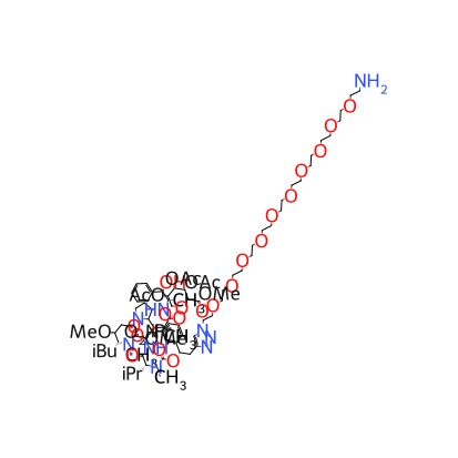 CC[C@@H](C)[C@H]([C@H](CC(=O)N1CCCC1[C@@H](OC)[C@H](C)C(=O)N[C@@H](C)[C@H](O)c1ccccc1)OC)N(C)C(=O)[C@H](NC(=O)[C@@H](C(C)C)N(C)C(=O)OC(Cc1cn(CCOCCOCCOCCOCCOCCOCCOCCOCCOCCOCCN)nn1)c1ccc(O[C@@H]2OC(C(=O)OC)[C@@H](OC(C)=O)C(OC(C)=O)[C@@H]2OC(C)=O)c([N+](=O)[O-])c1)C(C)C